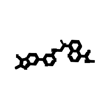 CNC(=O)c1ccnc2c([C@@H](C)CNc3cc(-c4ccn5c(F)c(C)nc5c4)ncn3)cccc12